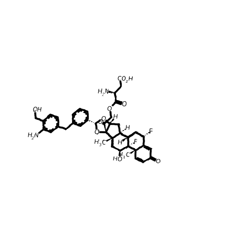 C[C@]12C=CC(=O)C=C1[C@@H](F)C[C@H]1[C@@H]3C[C@H]4O[C@@H](c5cccc(Cc6ccc(CO)c(N)c6)c5)O[C@@]4(C(=O)COC(=O)[C@@H](N)CC(=O)O)[C@@]3(C)C[C@H](O)[C@@]12F